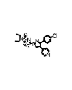 CCN(CC)S(=O)(=O)N=C(SC)N1CC(c2ccncc2)C(c2ccc(Cl)cc2)=N1